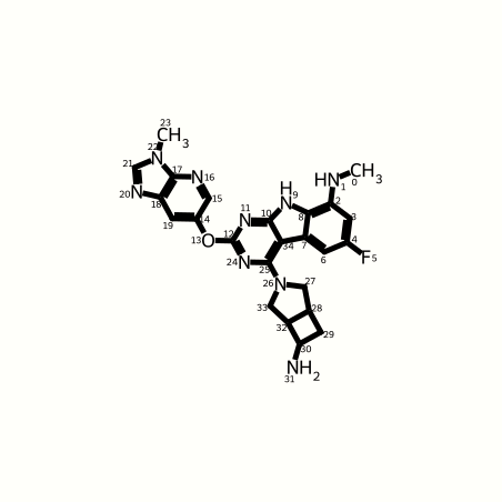 CNc1cc(F)cc2c1[nH]c1nc(Oc3cnc4c(c3)ncn4C)nc(N3CC4CC(N)C4C3)c12